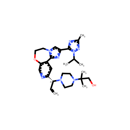 C=C[C@H](c1cc2c(cn1)OCCn1cc(-c3nc(C)nn3C(C)C)nc1-2)N1CCN(C(C)(C)CO)CC1